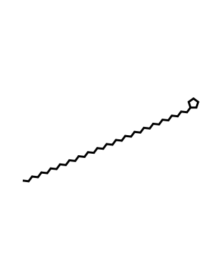 CCCCCCCCCCCCCCCCCCCCCCCCCCCCCCCCCCCCC1CCCC1